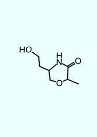 CC1OCC(CCO)NC1=O